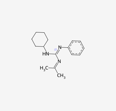 CC(C)=N/C(=N\c1ccccc1)NC1CCCCC1